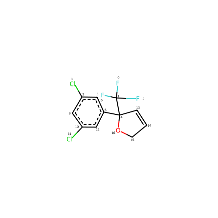 FC(F)(F)C1(c2cc(Cl)cc(Cl)c2)C=[C]CO1